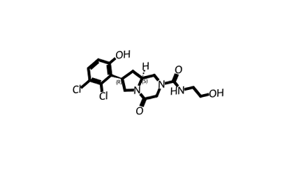 O=C(NCCO)N1CC(=O)N2C[C@@H](c3c(O)ccc(Cl)c3Cl)C[C@H]2C1